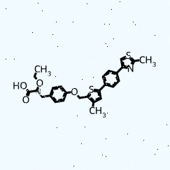 CCO[C@@H](Cc1ccc(OCc2sc(-c3ccc(-c4csc(C)n4)cc3)cc2C)cc1)C(=O)O